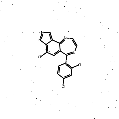 Clc1ccc(-c2nccnc3c2cc(Cl)c2nncc23)c(Cl)c1